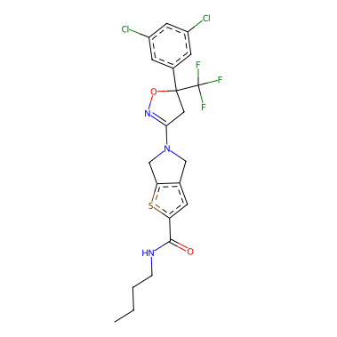 CCCCNC(=O)c1cc2c(s1)CN(C1=NOC(c3cc(Cl)cc(Cl)c3)(C(F)(F)F)C1)C2